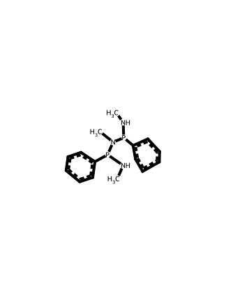 CNP(c1ccccc1)N(C)P(NC)c1ccccc1